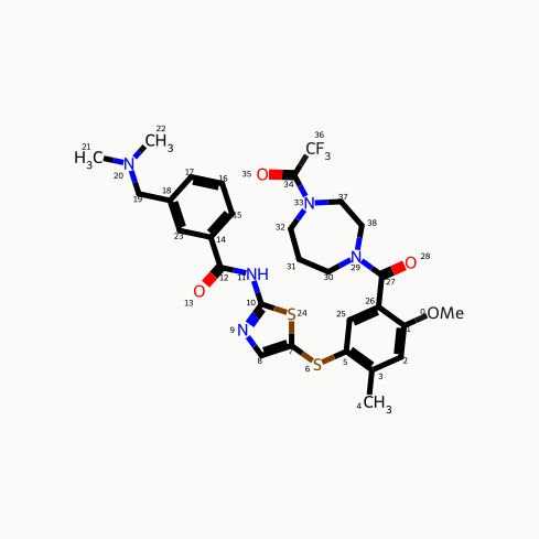 COc1cc(C)c(Sc2cnc(NC(=O)c3cccc(CN(C)C)c3)s2)cc1C(=O)N1CCCN(C(=O)C(F)(F)F)CC1